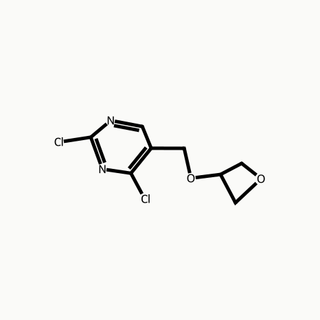 Clc1ncc(COC2COC2)c(Cl)n1